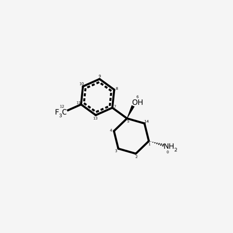 N[C@@H]1CCC[C@](O)(c2cccc(C(F)(F)F)c2)C1